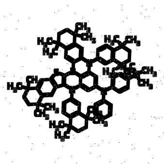 CC1(C)CCC(C)(C)c2cc(N3c4cc5c(cc4B4c6sc7cc8c(cc7c6N(c6ccc7c(c6)C(C)(C)CCC7(C)C)c6cc(N(c7ccccc7)c7ccc([Si](C)(C)C)cc7)cc3c64)C(C)(C)CCC8(C)C)C(C)(C)CCC5(C)C)ccc21